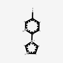 Ic1ccc(-n2ccnc2)nc1